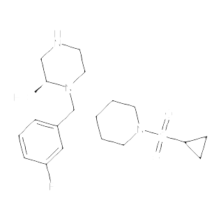 C[C@H]1CNCCN1[C@@H](c1cccc(F)c1)C1CCN(S(=O)(=O)C2CC2)CC1